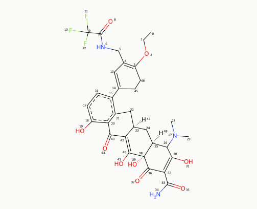 CCOC1=C(CNC(=O)C(F)(F)F)C=C(c2ccc(O)c3c2C[C@H]2C[C@H]4C(N(C)C)C(O)=C(C(N)=O)C(=O)[C@@]4(O)C(O)=C2C3=O)CC1